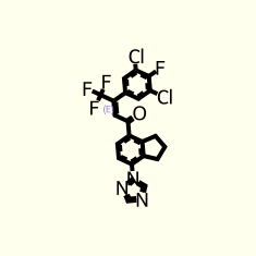 O=C(/C=C(\c1cc(Cl)c(F)c(Cl)c1)C(F)(F)F)c1ccc(-n2cncn2)c2c1CCC2